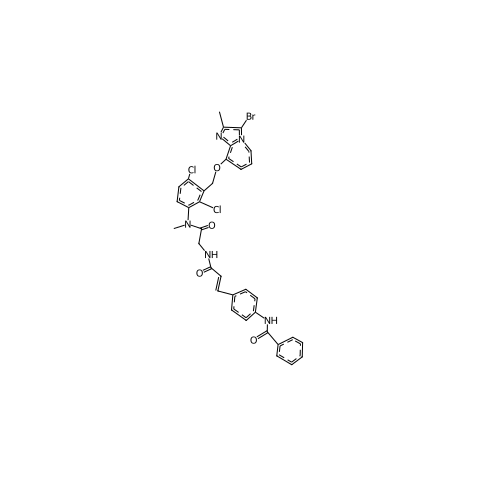 Cc1nc2c(OCc3c(Cl)ccc(N(C)C(=O)CNC(=O)C=Cc4ccc(NC(=O)c5ccccc5)cc4)c3Cl)cccn2c1Br